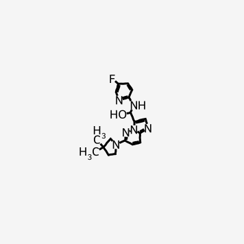 CC1(C)CCN(c2ccc3ncc(C(O)Nc4ccc(F)cn4)n3n2)C1